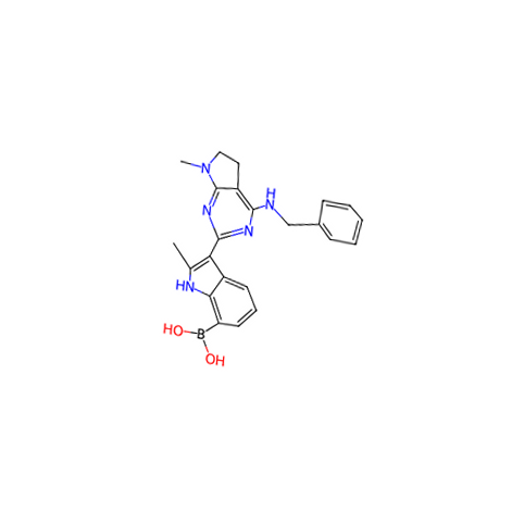 Cc1[nH]c2c(B(O)O)cccc2c1-c1nc(NCc2ccccc2)c2c(n1)N(C)CC2